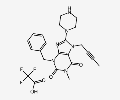 CC#CCn1c(N2CCNCC2)nc2c1c(=O)n(C)c(=O)n2Cc1ccccc1.O=C(O)C(F)(F)F